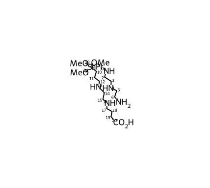 CCCNCCNCCN.CO[Si](CCCNCCNCCCC(=O)O)(OC)OC